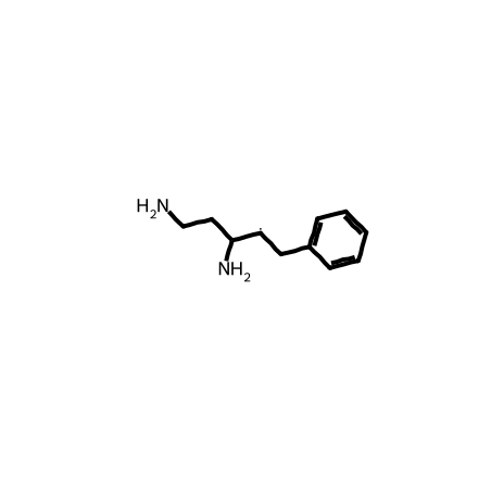 NCCC(N)[CH]Cc1ccccc1